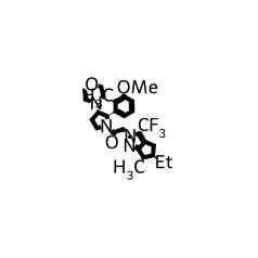 CC[C@H]1Cc2c(nn(CC(=O)N3CC[C@H](N4CCOCC4)[C@@H]3c3cccc(OC)c3C)c2C(F)(F)F)[C@@H]1C